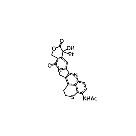 CCC1(O)C(=O)OCc2c1cc1n(c2=O)Cc2c-1nc1ccc(NC(C)=O)c3c1c2CCS3